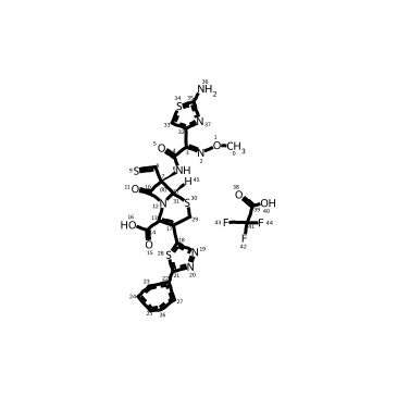 CON=C(C(=O)N[C@]1(C=S)C(=O)N2C(C(=O)O)=C(c3nnc(-c4ccccc4)s3)CS[C@H]21)c1csc(N)n1.O=C(O)C(F)(F)F